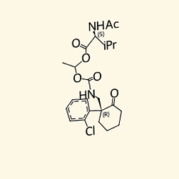 CC(=O)N[C@H](C(=O)OC(C)OC(=O)NC[C@]1(c2ccccc2Cl)CCCCC1=O)C(C)C